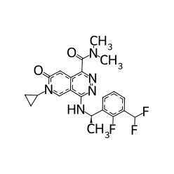 C[C@@H](Nc1nnc(C(=O)N(C)C)c2cc(=O)n(C3CC3)cc12)c1cccc(C(F)F)c1F